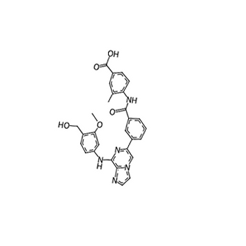 COc1cc(Nc2nc(-c3cccc(C(=O)Nc4ccc(C(=O)O)cc4C)c3)cn3ccnc23)ccc1CO